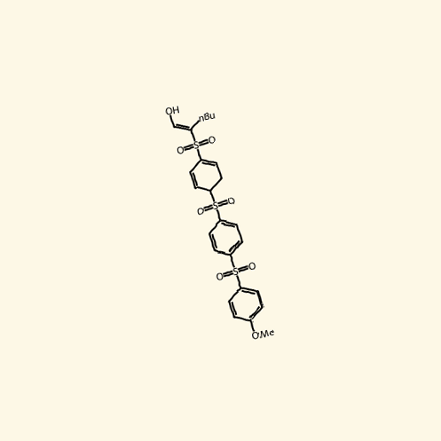 CCCC/C(=C\O)S(=O)(=O)C1=CCC(S(=O)(=O)c2ccc(S(=O)(=O)c3ccc(OC)cc3)cc2)C=C1